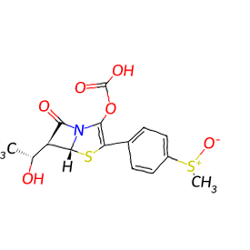 C[C@@H](O)[C@H]1C(=O)N2C(OC(=O)O)=C(c3ccc([S+](C)[O-])cc3)S[C@H]12